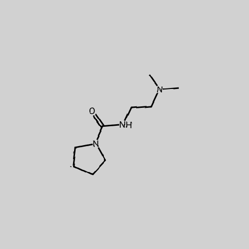 CN(C)CCNC(=O)N1C[CH]CC1